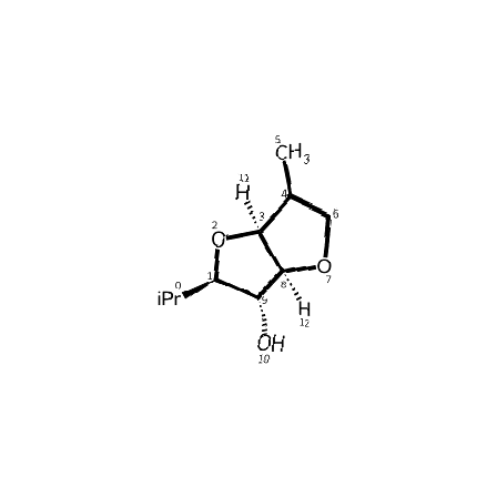 CC(C)[C@H]1O[C@H]2C(C)CO[C@H]2[C@@H]1O